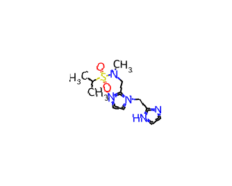 CC(C)S(=O)(=O)N(C)Cc1nccn1Cc1ncc[nH]1